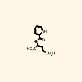 O=C(O)CC[C@H](NC(=O)C1C=CC=CN1)C(=O)O